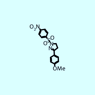 COc1ccc(C2=NN(S(=O)(=O)c3ccc([N+](=O)[O-])cc3)CC2)cc1